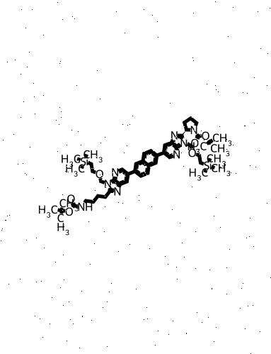 CC(C)(C)OC(=O)NCCCCc1nc2cc(-c3ccc4cc(-c5cnc6c(c5)nc([C@@H]5CCCN5C(=O)OC(C)(C)C)n6COCC[Si](C)(C)C)ccc4c3)cnc2n1COCC[Si](C)(C)C